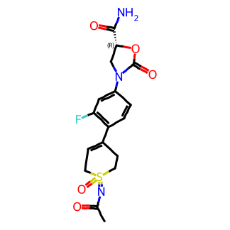 CC(=O)N=S1(=O)CC=C(c2ccc(N3C[C@H](C(N)=O)OC3=O)cc2F)CC1